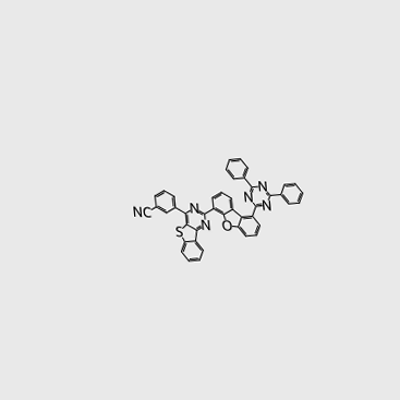 N#Cc1cccc(-c2nc(-c3cccc4c3oc3cccc(-c5nc(-c6ccccc6)nc(-c6ccccc6)n5)c34)nc3c2sc2ccccc23)c1